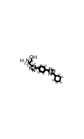 C[C@](N)(CO)c1nnc(-c2ccc(-c3noc(C4CCCCC4)n3)cc2)s1